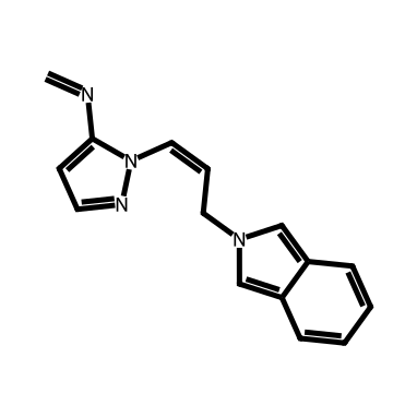 C=Nc1ccnn1/C=C\Cn1cc2ccccc2c1